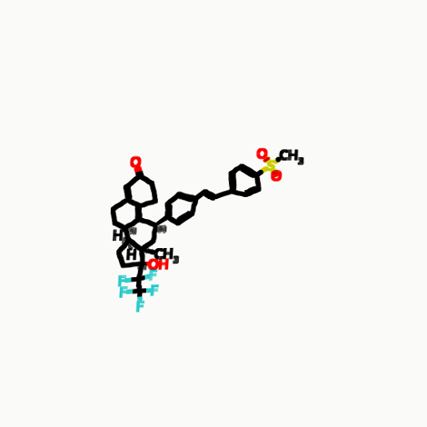 C[C@]12C[C@H](c3ccc(C=Cc4ccc(S(C)(=O)=O)cc4)cc3)C3=C4CCC(=O)C=C4CC[C@H]3[C@@H]1CC[C@@]2(O)C(F)(F)C(F)(F)F